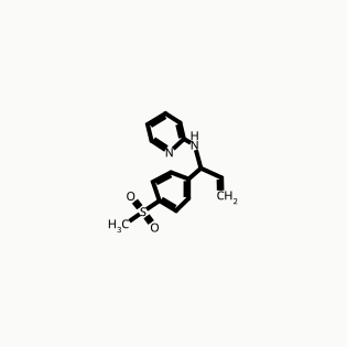 C=CC(Nc1ccccn1)c1ccc(S(C)(=O)=O)cc1